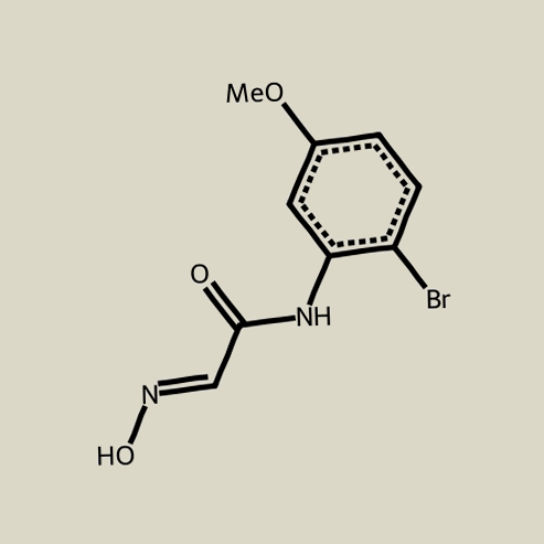 COc1ccc(Br)c(NC(=O)C=NO)c1